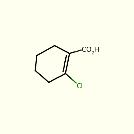 O=C(O)C1=C(Cl)CCCC1